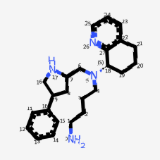 NCCCCN(CC1CC(c2ccccc2)CN1)[C@H]1CCCc2cccnc21